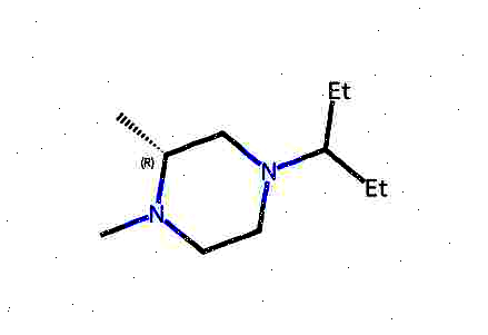 CCC(CC)N1CCN(C)[C@H](C)C1